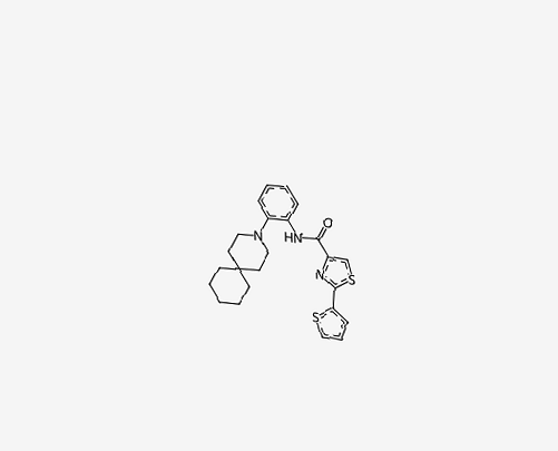 O=C(Nc1ccccc1N1CCC2(CCCCC2)CC1)c1csc(-c2cccs2)n1